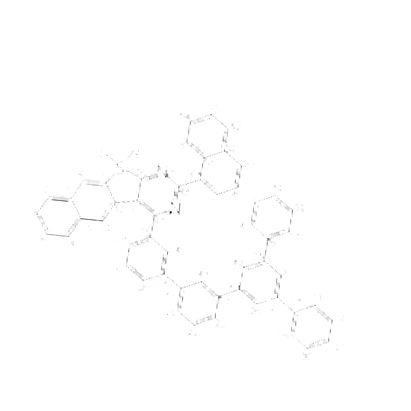 C[Si]1(C)c2cc3ccccc3cc2-c2c(-c3cccc(-c4cccc(-c5cc(-c6ccccc6)cc(-c6ccccc6)c5)c4)c3)nc(-c3cccc4ccccc34)nc21